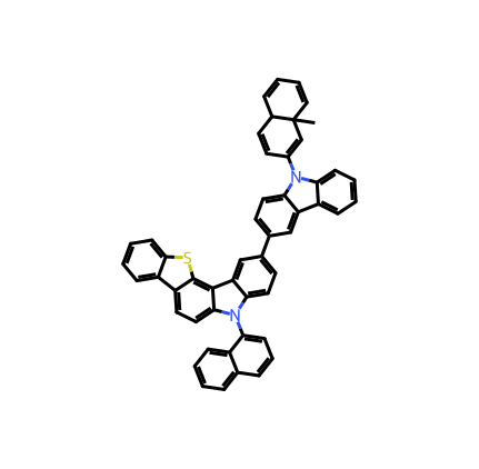 CC12C=CC=CC1C=CC(n1c3ccccc3c3cc(-c4ccc5c(c4)c4c6sc7ccccc7c6ccc4n5-c4cccc5ccccc45)ccc31)=C2